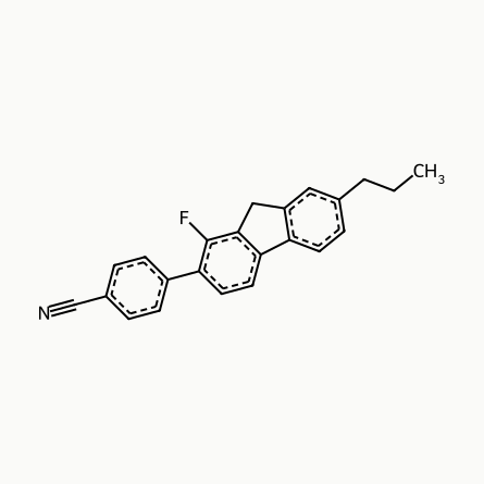 CCCc1ccc2c(c1)Cc1c-2ccc(-c2ccc(C#N)cc2)c1F